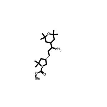 CC(C)(C)OC(=O)N1C[C@@H](CCC(N)C2CC(C)(C)OC(C)(C)C2)CC1(C)C